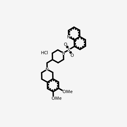 COc1cc2c(cc1OC)CN(CC1CCN(S(=O)(=O)c3cccc4cccnc34)CC1)CC2.Cl